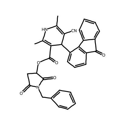 CC1=C(C#N)C(c2cccc3c2-c2ccccc2C3=O)C(C(=O)OC2CC(=O)N(Cc3ccccc3)C2=O)=C(C)N1